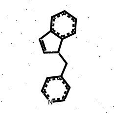 C1=CC(Cc2ccncc2)c2ccccc21